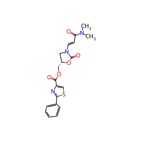 CN(C)C(=O)/C=C/N1C[C@@H](COC(=O)c2csc(-c3ccccc3)n2)OC1=O